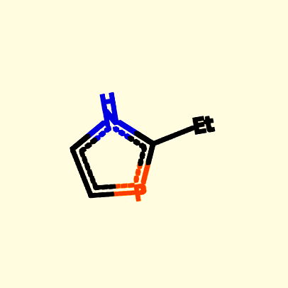 CCc1[nH]ccp1